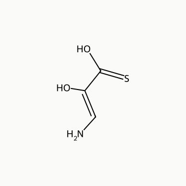 NC=C(O)C(O)=S